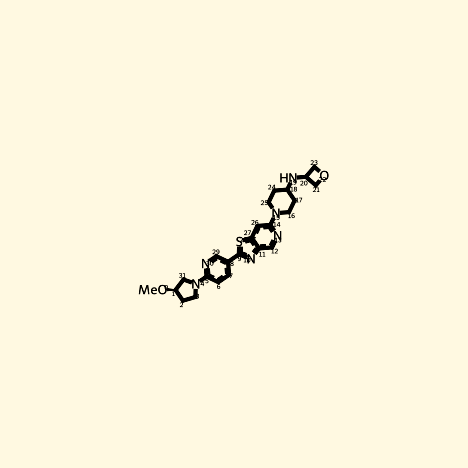 CO[C@@H]1CCN(c2ccc(-c3nc4cnc(N5CCC(NC6COC6)CC5)cc4s3)cn2)C1